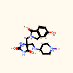 O=C1NC(=O)C(CNC2CCN(I)CC2)(CN2Cc3cc(O)ccc3C2=O)N1